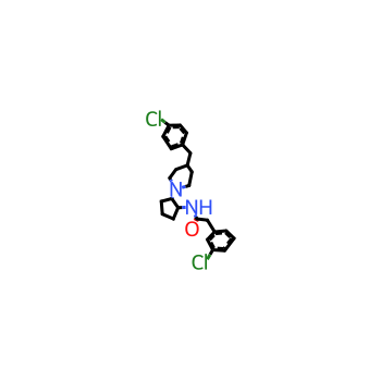 O=C(Cc1cccc(Cl)c1)NC1CCCC1N1CCC(Cc2ccc(Cl)cc2)CC1